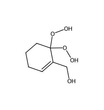 OCC1=CCCCC1(OO)OO